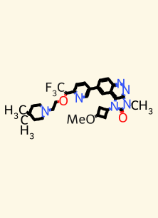 COC1CC(n2c(=O)n(C)c3nnc4ccc(-c5ccc(C(OCCN6CCC(C)(C)CC6)C(F)(F)F)nc5)cc4c32)C1